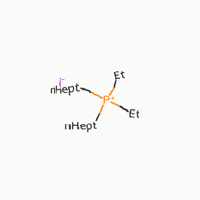 CCCCCCC[P+](CC)(CC)CCCCCCC.[I-]